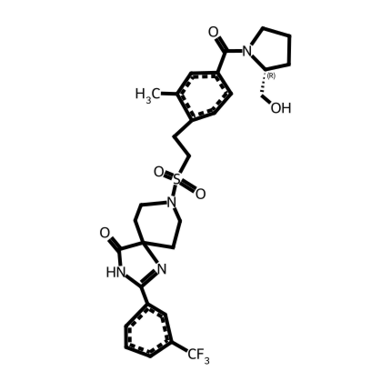 Cc1cc(C(=O)N2CCC[C@@H]2CO)ccc1CCS(=O)(=O)N1CCC2(CC1)N=C(c1cccc(C(F)(F)F)c1)NC2=O